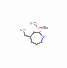 CC(C)(C)OC=O.N#CCC1CCCNCC1